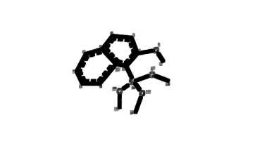 COc1ccc2ccccc2c1[Si](OC)(OC)OC